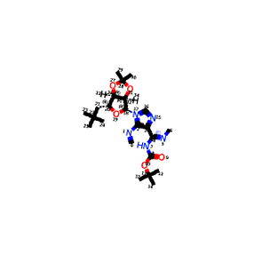 C=Nc1c(/C(=N\C)NC(=O)OC(C)(C)C)ncn1[C@@H]1O[C@H](CC(C)(C)C)[C@H]2OC(C)(C)O[C@H]21